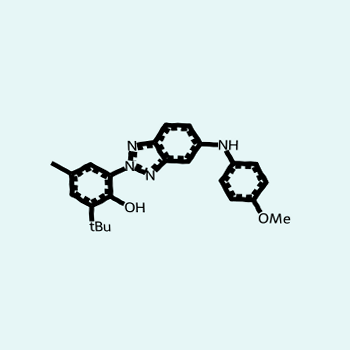 COc1ccc(Nc2ccc3nn(-c4cc(C)cc(C(C)(C)C)c4O)nc3c2)cc1